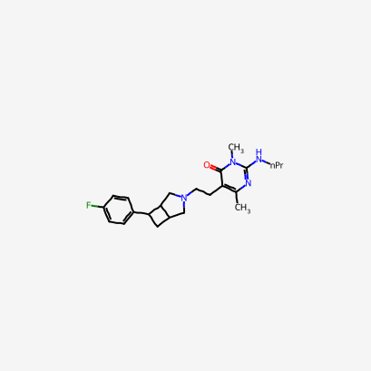 CCCNc1nc(C)c(CCN2CC3CC(c4ccc(F)cc4)C3C2)c(=O)n1C